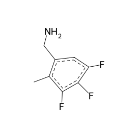 Cc1c(CN)cc(F)c(F)c1F